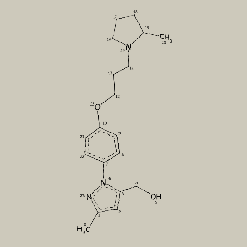 Cc1cc(CO)n(-c2ccc(OCCCN3CCCC3C)cc2)n1